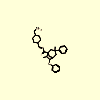 CC1C(Oc2ccccc2)C2CC(C)(c3ccccc3)CC1(C(=S)/N=C/C1CCC(CN)CC1)C2